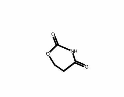 O=C1CCOC(=O)N1